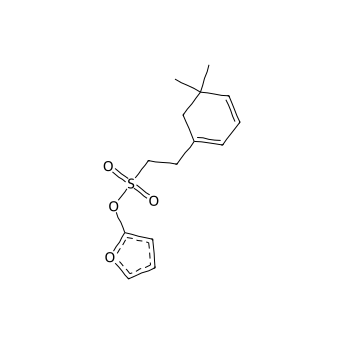 CC1(C)C=CC=C(CCS(=O)(=O)Oc2ccco2)C1